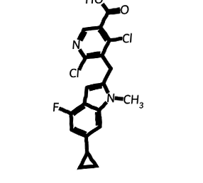 Cn1c(Cc2c(Cl)ncc(C(=O)O)c2Cl)cc2c(F)cc(C3CC3)cc21